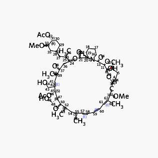 CO[C@H]1C[C@@H]2CC[C@@H](C)[C@@](O)(O2)C(=O)C(=O)N2CCCC[C@H]2C(=O)O[C@H]([C@H](C)C[C@@H]2CC[C@@H](OC(C)=O)[C@H](OC)C2)CC(=O)[C@H](C)/C=C(\CO)[C@@H](OC(C)=O)[C@@H](CO)C(=O)[C@H](C)C[C@H](C)/C=C/C=C/C=C/1C